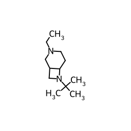 CCN1CCC2C(C1)CN2C(C)(C)C